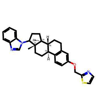 C[C@]12CC[C@@H]3c4ccc(OCc5nccs5)cc4CC[C@H]3[C@@H]1CCC2n1cnc2ccccc21